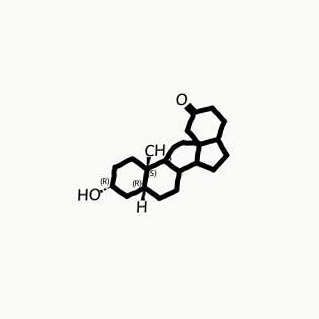 C[C@]12CC[C@@H](O)C[C@H]1CCC1C3CCC4CCC(=O)CC43CCC12